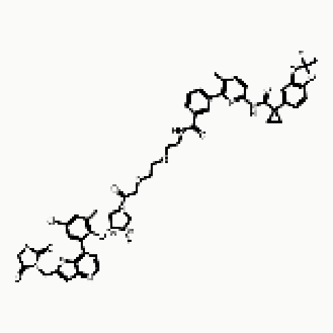 Cc1ccc(NC(=O)C2(c3ccc4c(c3)OC(F)(F)O4)CC2)nc1-c1cccc(C(=O)NCCOCCOCC(=O)N2C[C@H](F)[C@H](Oc3c(C)cc(Cl)cc3-c3ccnc4cc(CN5C(=O)CSC5=O)sc34)C2)c1